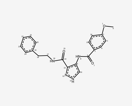 COc1ccc(C(=O)Nc2c[nH]nc2C(=O)NCCc2ccccc2)cc1